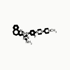 CN1CCC(N2CCN(c3ccc(Nc4nc(N)nn4-c4cc5c(nn4)-c4ccccc4CCC5)cc3F)CC2)CC1